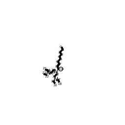 CCCCCCCC=CC(=O)N(CCN(CC)CC)CCN(CC)CC